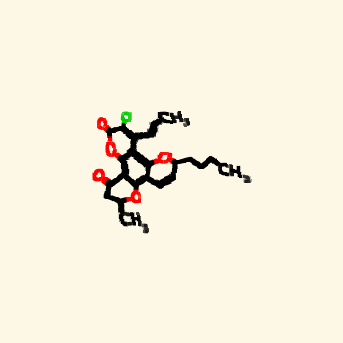 CCCCC1C=Cc2c3c(c4oc(=O)c(Cl)c(CCC)c4c2O1)C(=O)CC(C)O3